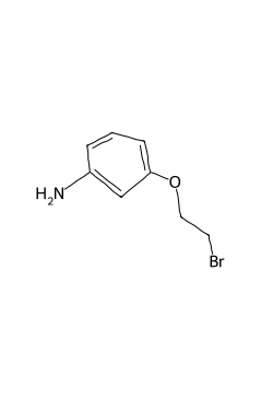 Nc1cccc(OCCBr)c1